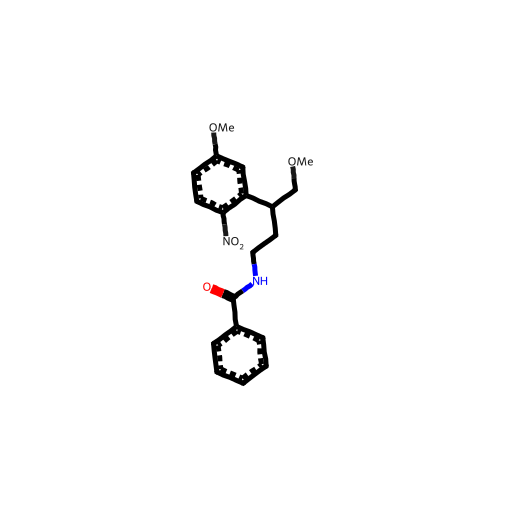 COCC(CCNC(=O)c1ccccc1)c1cc(OC)ccc1[N+](=O)[O-]